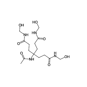 CC(=O)NC(CCC(=O)NCO)(CCC(=O)NCO)CCC(=O)NCO